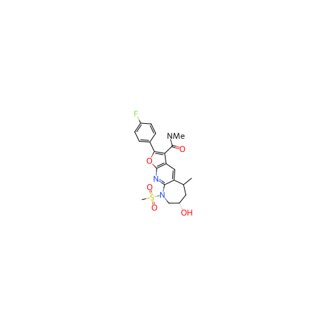 CNC(=O)c1c(-c2ccc(F)cc2)oc2nc3c(cc12)C(C)C[C@H](O)CN3S(C)(=O)=O